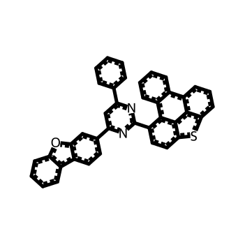 c1ccc(-c2cc(-c3ccc4c(c3)oc3ccccc34)nc(-c3ccc4sc5cccc6c7ccccc7c3c4c56)n2)cc1